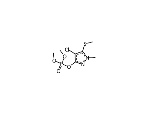 COP(=O)(OC)Oc1nn(C)c(SC)c1Cl